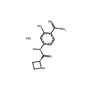 CN(C(=O)[C@@H]1CCN1)c1ccc(C(=N)N)c(O)c1.Cl